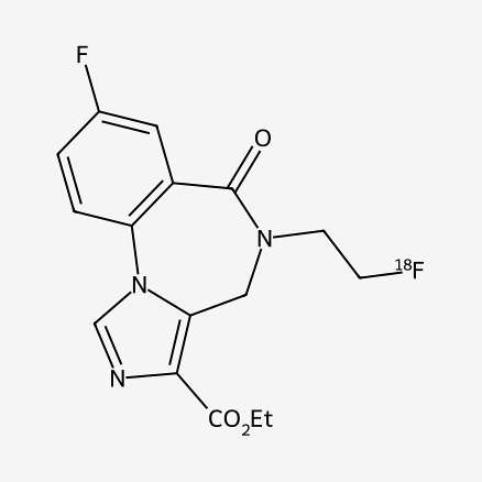 CCOC(=O)c1ncn2c1CN(CC[18F])C(=O)c1cc(F)ccc1-2